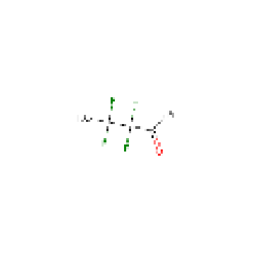 CC(C)C(=O)C(F)(F)C(F)(F)C(F)(F)F